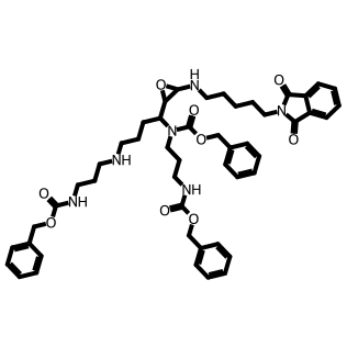 O=C(NCCCNCCCC(C1OC1NCCCCCN1C(=O)c2ccccc2C1=O)N(CCCNC(=O)OCc1ccccc1)C(=O)OCc1ccccc1)OCc1ccccc1